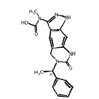 C[C@H](c1ccccc1)N1Cc2cc3c(N(C)C(=O)O)n[nH]c3cc2NC1=O